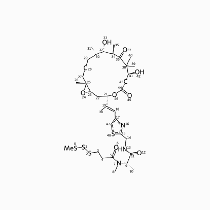 CSSSCCC(=O)N(C)[C@@H](C)C(=O)NCc1nc(C=C(C)[C@@H]2CC3O[C@]3(C)CCC[C@H](C)[C@H](O)[C@@H](C)C(=O)C(C)(C)[C@@H](O)CC(=O)O2)cs1